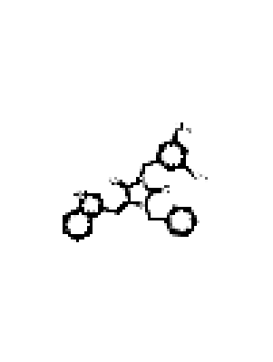 O=C1C(=Cc2c[nH]c3ccccc23)N(Cc2ccccc2)C(=O)N1Cc1cc(C(F)(F)F)cc(C(F)(F)F)c1